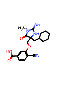 CN1C(=N)NC(COc2cc(C(=O)O)ccc2C#N)(CC2CCCCC2)C1=O